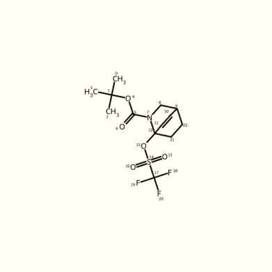 CC(C)(C)OC(=O)N1CC2C=CC1(OS(=O)(=O)C(F)(F)F)CC2